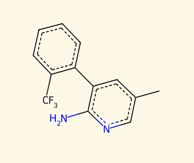 Cc1cnc(N)c(-c2ccccc2C(F)(F)F)c1